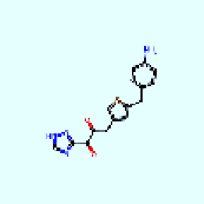 Nc1ccc(Cc2cc(CC(=O)C(=O)c3nc[nH]n3)cs2)cc1